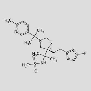 Cc1ccc(C(C)(C)N2CC[C@](CCc3ccc(F)s3)(C(C)(C)NS(C)(=O)=O)C2)cn1